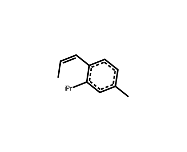 C/C=C\c1ccc(C)cc1C(C)C